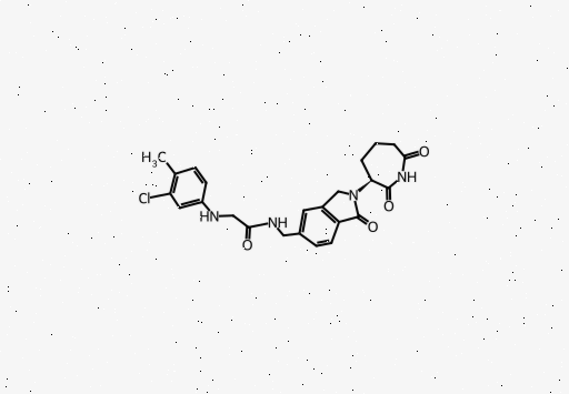 Cc1ccc(NCC(=O)NCc2ccc3c(c2)CN([C@H]2CCCC(=O)NC2=O)C3=O)cc1Cl